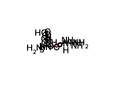 CC1(C)[C@H](NC(=O)C(=NOCCOc2ccc(C(=N)NCCNC(=N)N)cc2)c2csc(N)n2)C(=O)N1OS(=O)(=O)O